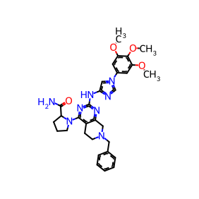 COc1cc(-n2cnc(Nc3nc4c(c(N5CCCC5C(N)=O)n3)CCN(Cc3ccccc3)C4)c2)cc(OC)c1OC